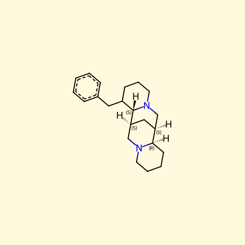 c1ccc(CC2CCCN3C[C@@H]4C[C@@H](CN5CCCC[C@H]45)[C@H]23)cc1